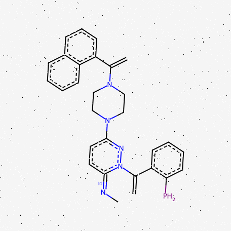 C=C(c1cccc2ccccc12)N1CCN(c2cc/c(=N/C)n(C(=C)c3ccccc3P)n2)CC1